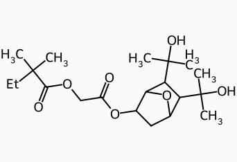 CCC(C)(C)C(=O)OCC(=O)OC1CC2OC1C(C(C)(C)O)C2C(C)(C)O